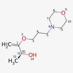 C=C(OCCCN1CCOCC1)[C@H](C)O